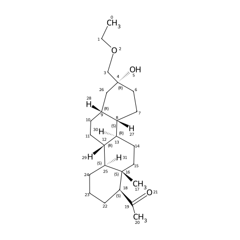 CCOC[C@@]1(O)CC[C@H]2[C@H](CC[C@@H]3[C@@H]2CC[C@]2(C)[C@@H](C(C)=O)CCC[C@@H]32)C1